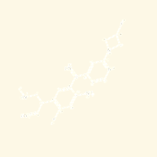 CNCC(C=N)c1cc(C(=N)c2ccnc(N3CC(F)C3)c2)c(N)cc1F